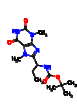 CCC(NC(=O)OC(C)(C)C)c1nc2c(c(=O)[nH]c(=O)n2C)n1C